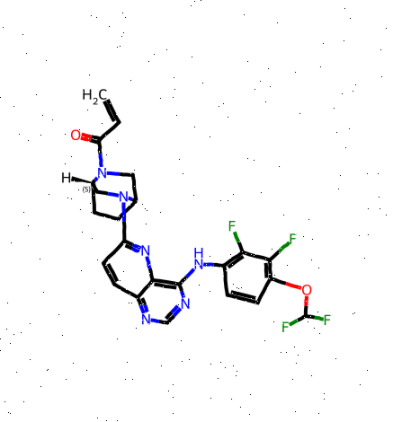 C=CC(=O)N1CC2CC[C@H]1CN2c1ccc2ncnc(Nc3ccc(OC(F)F)c(F)c3F)c2n1